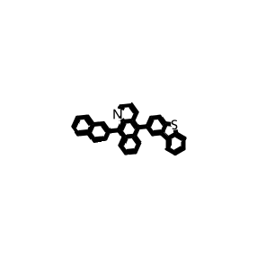 c1ccc2cc(-c3c4ccccc4c(-c4ccc5sc6ccccc6c5c4)c4cccnc34)ccc2c1